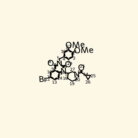 COc1ccc(Cn2c(=O)c3cc(Br)ccc3n(C3CCCN(C(=O)C4CC4)C3)c2=O)cc1OC